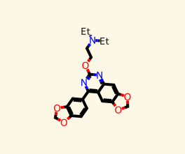 CCN(CC)CCOc1nc(-c2ccc3c(c2)OCO3)c2cc3c(cc2n1)OCO3